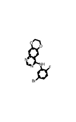 Fc1ccc(Br)cc1Nc1ncnc2cc3c(cc12)OCCO3